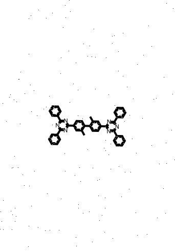 Cc1cc(-c2nc(-c3ccccc3)nc(-c3ccccc3)n2)ccc1-c1ccc(-c2nc(-c3ccccc3)nc(-c3ccccc3)n2)cc1C